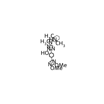 COc1ncc(-c2ccc(-c3ncc(N(C)[C@H]4C[C@]5(C)CCC[C@](C)(C4)N5)nn3)c(O)c2)nc1OC